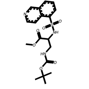 COC(=O)C(CNC(=O)OC(C)(C)C)NS(=O)(=O)c1cccc2cnccc12